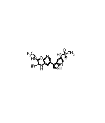 CC(C)[C@H](Nc1cncc(-c2c[nH]c3ncc(NS(C)(=O)=O)cc23)c1)C(=O)NCC(F)(F)F